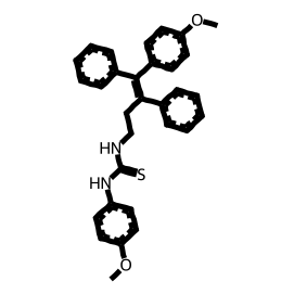 COc1ccc(NC(=S)NCC/C(=C(\c2ccccc2)c2ccc(OC)cc2)c2ccccc2)cc1